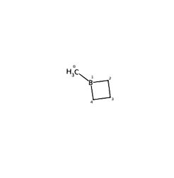 CB1CCC1